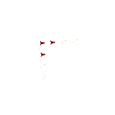 CC(=O)[O-].CC(=O)[O-].CC(=O)[O-].O=S(=O)([O-])[O-].O=S(=O)([O-])[O-].O=S(=O)([O-])[O-].[Al+3].[Al+3].[Al+3]